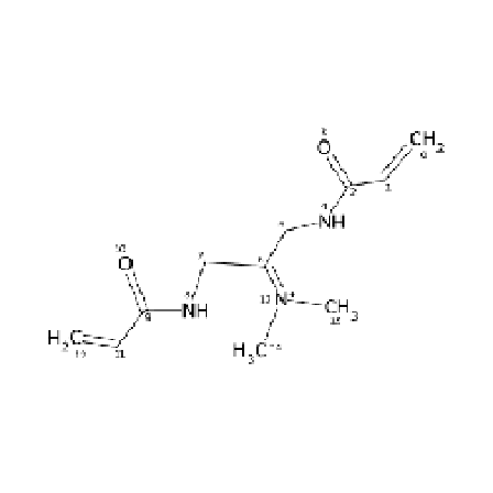 C=CC(=O)NCC(CNC(=O)C=C)=[N+](C)C